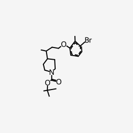 Cc1c(Br)cccc1OCCC(C)C1CCN(C(=O)OC(C)(C)C)CC1